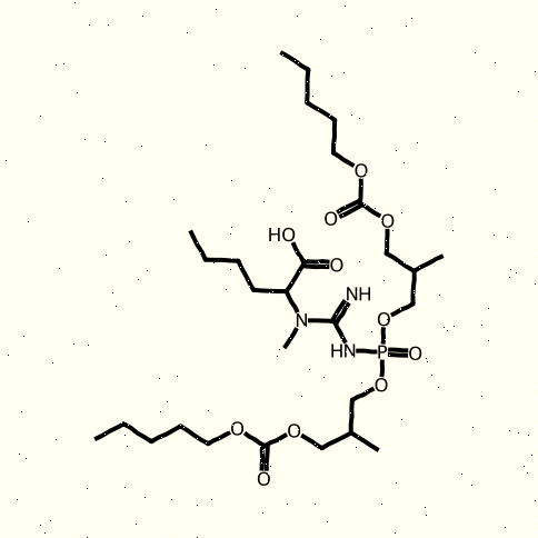 CCCCCOC(=O)OCC(C)COP(=O)(NC(=N)N(C)C(CCCC)C(=O)O)OCC(C)COC(=O)OCCCCC